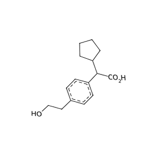 O=C(O)C(c1ccc(CCO)cc1)C1CCCC1